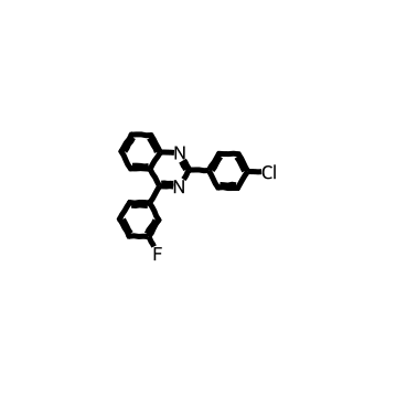 Fc1cccc(-c2nc(-c3ccc(Cl)cc3)nc3ccccc23)c1